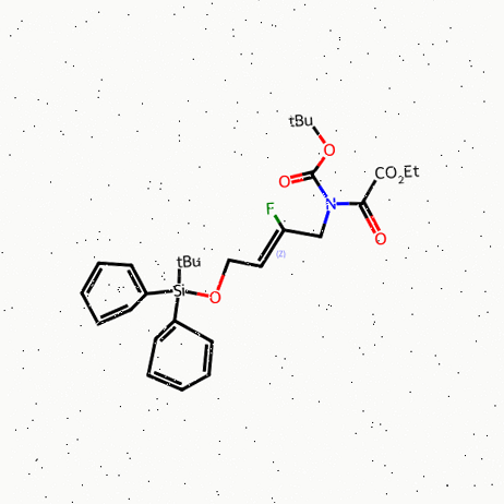 CCOC(=O)C(=O)N(C/C(F)=C/CO[Si](c1ccccc1)(c1ccccc1)C(C)(C)C)C(=O)OC(C)(C)C